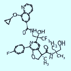 CC(C)(CO)NC(=O)[C@@]1(C)COc2c1cc([C@@](O)(CNC(=O)c1cc(OC3CC3)c3ncccc3c1)C(F)(F)F)nc2-c1ccc(F)cc1